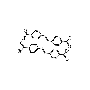 O=C(Br)c1ccc(C=Cc2ccc(C(=O)Br)cc2)cc1.O=C(Cl)c1ccc(C=Cc2ccc(C(=O)Cl)cc2)cc1